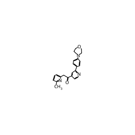 Cc1cccc(CC(=O)c2ccnc(-c3ccc(N4CCOCC4)cc3)c2)n1